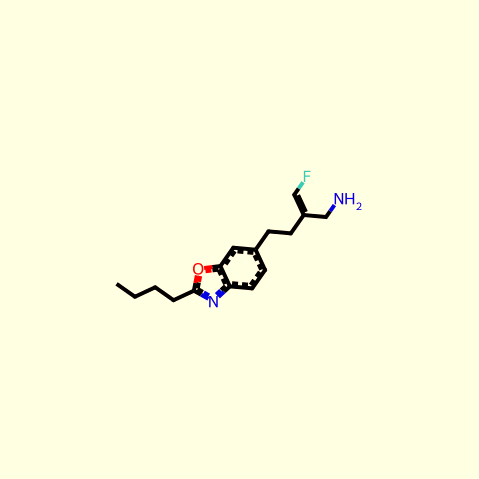 CCCCc1nc2ccc(CCC(=CF)CN)cc2o1